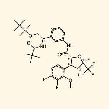 COc1c([C@H]2[C@H](C(=O)Nc3ccnc([C@@H](CO[Si](C)(C)C(C)(C)C)N[S+]([O-])C(C)(C)C)c3)O[C@@](C)(C(F)(F)F)[C@H]2C)ccc(F)c1F